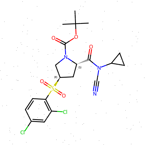 CC(C)(C)OC(=O)N1C[C@H](S(=O)(=O)c2ccc(Cl)cc2Cl)C[C@H]1C(=O)N(C#N)C1CC1